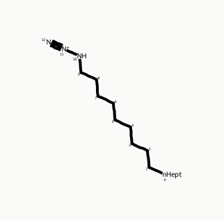 CCCCCCCCCCCCCCCCN[N+]#N